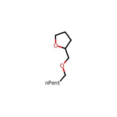 CCCCCCOCC1CCCO1